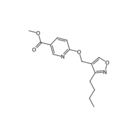 CCCCc1nocc1COc1ccc(C(=O)OC)cn1